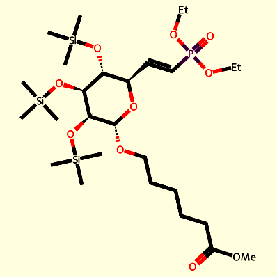 CCOP(=O)(/C=C/[C@H]1O[C@H](OCCCCCC(=O)OC)[C@@H](O[Si](C)(C)C)[C@@H](O[Si](C)(C)C)[C@@H]1O[Si](C)(C)C)OCC